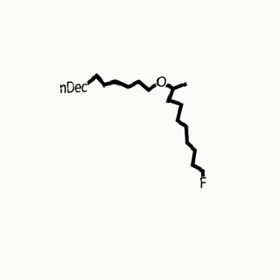 CCCCCCCCCCCCCCCCOC(C)CCCCCCCCF